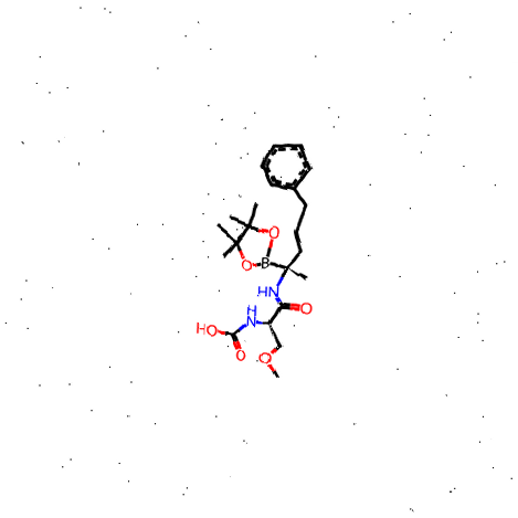 COC[C@@H](NC(=O)O)C(=O)N[C@@](C)(CCCc1ccccc1)B1OC(C)(C)C(C)(C)O1